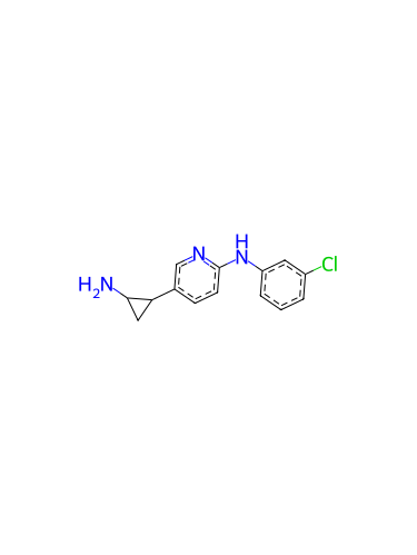 NC1CC1c1ccc(Nc2cccc(Cl)c2)nc1